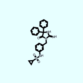 N=C1NC(c2ccccc2)(c2ccccc2)C(=O)N1Cc1cccc(NS(=O)(=O)C2CC2)c1